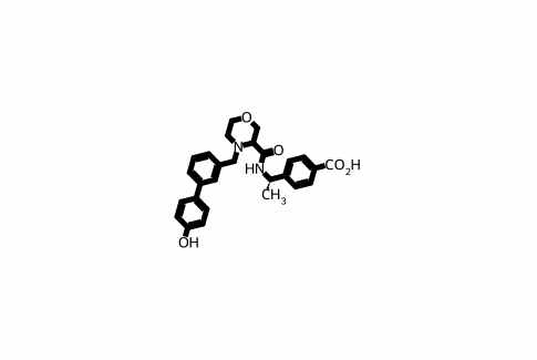 C[C@H](NC(=O)C1COCCN1Cc1cccc(-c2ccc(O)cc2)c1)c1ccc(C(=O)O)cc1